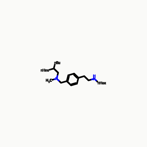 CCCCCCNCCc1ccc(CN(C)CC(CCCC)CCCCCC)cc1